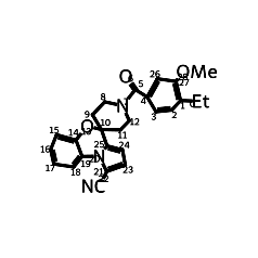 CCc1ccc(C(=O)N2CCC3(CC2)Oc2ccccc2-n2c(C#N)ccc23)cc1OC